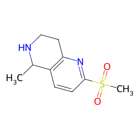 CC1NCCc2nc(S(C)(=O)=O)ccc21